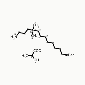 CC(O)C(=O)[O-].CCCCCCCCCCCCCCCCCC[N+](C)(C)CCCN